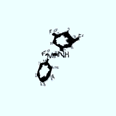 Fc1cc(F)cc(NN(F)c2ccccc2)c1